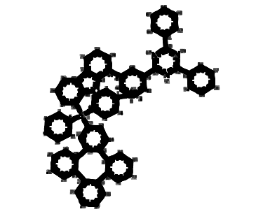 Cc1ccc([Si](c2ccccc2)(c2ccc3c(c2)-c2ccccc2-c2ccccc2-c2ccccc2-3)c2cccc3c2oc2c(-c4cccc(-c5nc(-c6ccccc6)nc(-c6ccccc6)n5)c4)cccc23)cc1